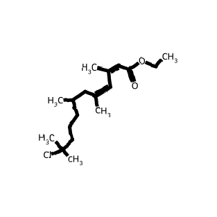 CCOC(=O)C=C(C)C=C(C)CC(C)CCCC(C)(C)Cl